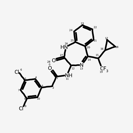 O=C(Cc1cc(Cl)cc(Cl)c1)NC1N=C(C(C2CC2)C(F)(F)F)c2ccccc2NC1=O